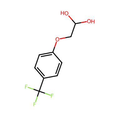 OC(O)COc1ccc(C(F)(F)F)cc1